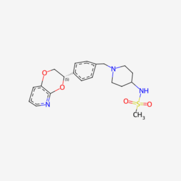 CS(=O)(=O)NC1CCN(Cc2ccc([C@H]3COc4cccnc4O3)cc2)CC1